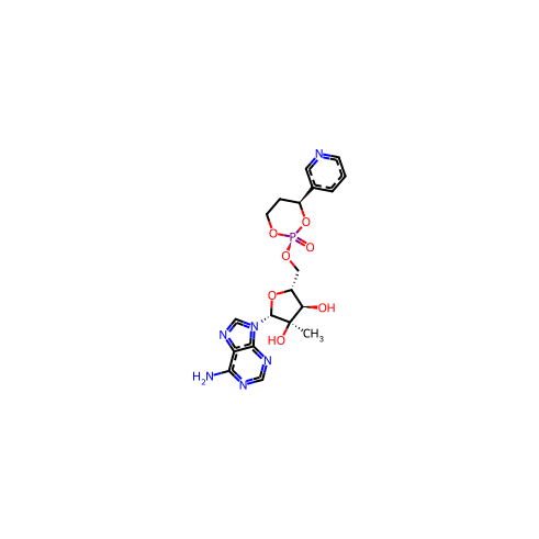 C[C@@]1(O)[C@H](O)[C@@H](CO[P@@]2(=O)OCC[C@@H](c3cccnc3)O2)O[C@H]1n1cnc2c(N)ncnc21